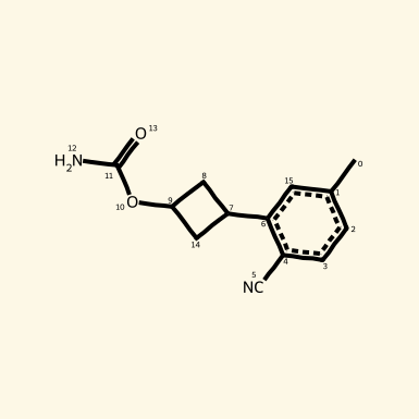 Cc1ccc(C#N)c(C2CC(OC(N)=O)C2)c1